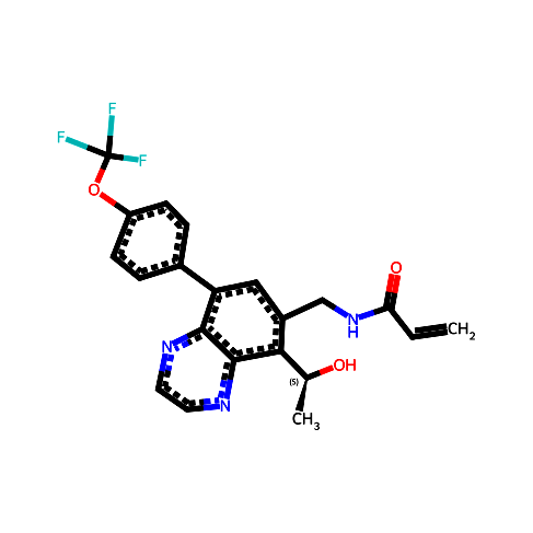 C=CC(=O)NCc1cc(-c2ccc(OC(F)(F)F)cc2)c2nccnc2c1[C@H](C)O